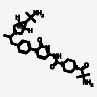 CC(Cc1ccc(-n2ccc(NC(=O)N3CCN(C(=O)C(C)(C)N)CC3)nc2=O)cc1)N1C[C@@H]2C(C(C)(C)N)[C@@H]2C1